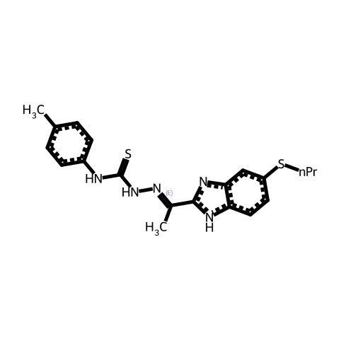 CCCSc1ccc2[nH]c(/C(C)=N/NC(=S)Nc3ccc(C)cc3)nc2c1